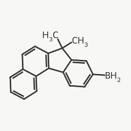 Bc1ccc2c(c1)C(C)(C)c1ccc3ccccc3c1-2